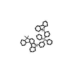 CC1(C)c2ccccc2-c2c1ccc1c2c2ccccc2n1-c1cccc(S(c2ccccc2)(c2ccccc2)c2cccc(-n3c4ccccc4c4ccccc43)c2)c1